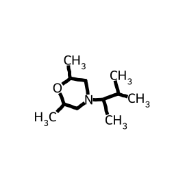 CC1CN(C(C)C(C)C)CC(C)O1